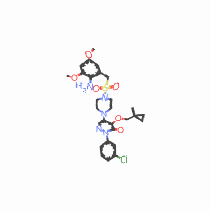 COc1cc(CS(=O)(=O)N2CCN(c3cnn(-c4cccc(Cl)c4)c(=O)c3OCC3(C)CC3)CC2)c(N)c(OC)c1